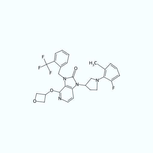 Cc1cccc(F)c1N1CCC(n2c(=O)n(Cc3ccccc3C(F)(F)F)c3c(OC4COC4)nccc32)C1